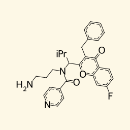 CC(C)C(c1oc2cc(F)ccc2c(=O)c1Cc1ccccc1)N(CCCN)C(=O)c1ccncc1